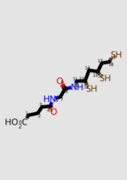 O=C(O)CCCC(=O)NCC(=O)NCC(S)CC(S)CCS